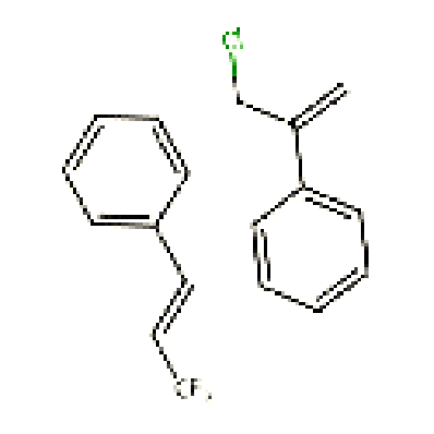 C=C(CCl)c1ccccc1.FC(F)(F)C=Cc1ccccc1